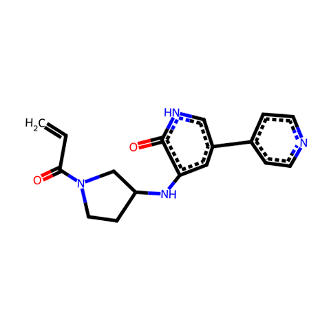 C=CC(=O)N1CCC(Nc2cc(-c3ccncc3)c[nH]c2=O)C1